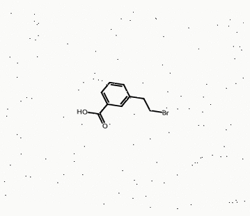 O=C(O)c1cccc(CCBr)c1